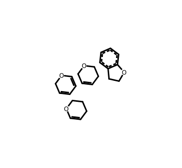 C1=CCOC=C1.C1=CCOCC1.C1=COCCC1.c1ccc2c(c1)CCO2